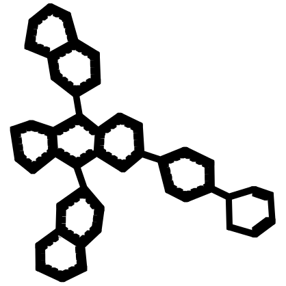 C1=CCC(c2ccc(-c3ccc4c(-c5ccc6ccccc6c5)c5ccccc5c(-c5ccc6ccccc6c5)c4c3)cc2)C=C1